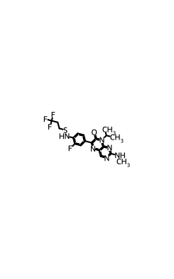 CNc1ncc2nc(-c3ccc(NSCCC(F)(F)F)c(F)c3)c(=O)n(C(C)C)c2n1